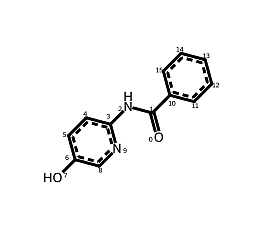 O=C(Nc1ccc(O)cn1)c1ccccc1